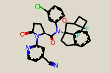 N#Cc1ccnc(N2C(=O)CC[C@H]2C(=O)N(c2cccc(Cl)c2)[C@@]2(C(=O)C3CCC3(F)F)CCc3ccccc32)c1